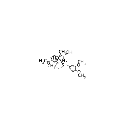 COc1ccc(CCN(CC(C)c2ccc(N(C)C)cc2)C2(C)SCCCS2)cc1OC.Cl